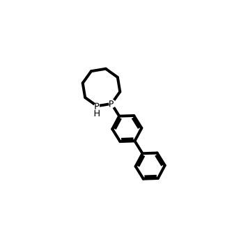 c1ccc(-c2ccc(P3CCCCCCP3)cc2)cc1